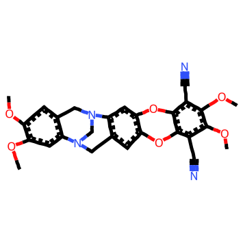 COc1cc2c(cc1OC)N1Cc3cc4c(cc3N(C2)C1)Oc1c(C#N)c(OC)c(OC)c(C#N)c1O4